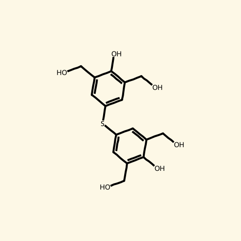 OCc1cc(Sc2cc(CO)c(O)c(CO)c2)cc(CO)c1O